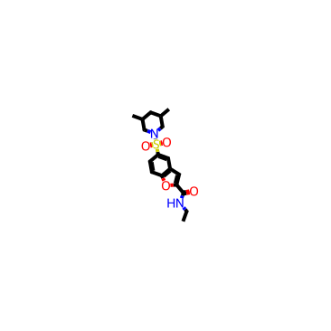 CCNC(=O)c1cc2cc(S(=O)(=O)N3CC(C)CC(C)C3)ccc2o1